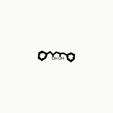 OC(Cc1ccccc1)CC(O)Cc1ccccc1